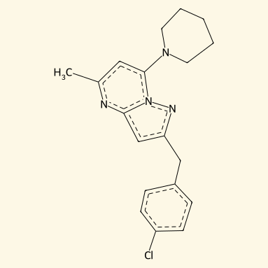 Cc1cc(N2CCCCC2)n2nc(Cc3ccc(Cl)cc3)cc2n1